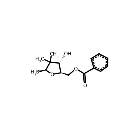 B[C@@H]1O[C@H](COC(=O)c2ccccc2)[C@@H](O)C1(C)C